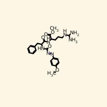 COC(=O)C(CCCNC(N)N)NC(=O)C(Cc1ccccc1)NC(=O)/N=N/c1ccc(OC)cc1